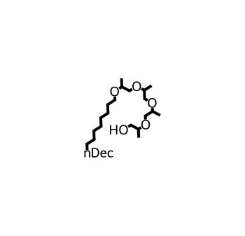 CCCCCCCCCCCCCCCCCCOC(C)COC(C)COC(C)COC(C)CO